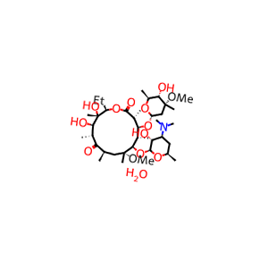 CC[C@H]1OC(=O)[C@H](C)[C@@H](O[C@H]2C[C@@](C)(OC)[C@@H](O)[C@H](C)O2)[C@H](C)[C@@H](O[C@@H]2O[C@H](C)C[C@H](N(C)C)[C@H]2O)[C@](C)(OC)C[C@@H](C)C(=O)[C@H](C)[C@@H](O)[C@]1(C)O.O